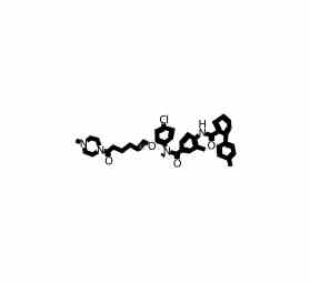 Cc1ccc(-c2ccccc2C(=O)Nc2ccc(C(=O)N(C)c3ccc(Cl)cc3O/C=C/CCCC(=O)N3CCN(C)CC3)cc2C)cc1